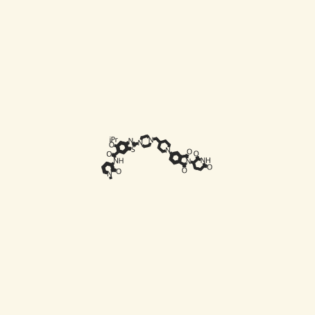 CC(C)Oc1cc2nc(N3CCN(CC4CCN(c5ccc6c(c5)C(=O)N(C5CCC(=O)NC5=O)C6=O)CC4)CC3)sc2cc1C(=O)Nc1cccn(C)c1=O